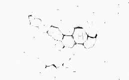 C[C@]12CC[C@@H](SC3CCNC3)CC1C(=O)C[C@@H]1[C@@H]2CC[C@]2(C)C(=O)CC[C@@H]12.O=C(O)/C=C/C(=O)O